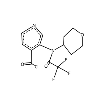 O=C(Cl)c1ccncc1N(C(=O)C(F)(F)F)C1CCOCC1